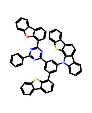 c1ccc(-c2nc(-c3cc(-c4cccc5c4sc4ccccc45)cc(-n4c5ccccc5c5ccc6c7ccccc7sc6c54)c3)nc(-c3cccc4c3oc3ccccc34)n2)cc1